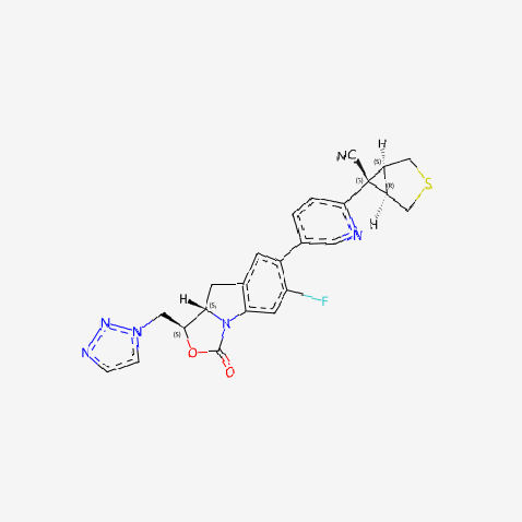 N#C[C@]1(c2ccc(-c3cc4c(cc3F)N3C(=O)O[C@@H](Cn5ccnn5)[C@@H]3C4)cn2)[C@@H]2CSC[C@@H]21